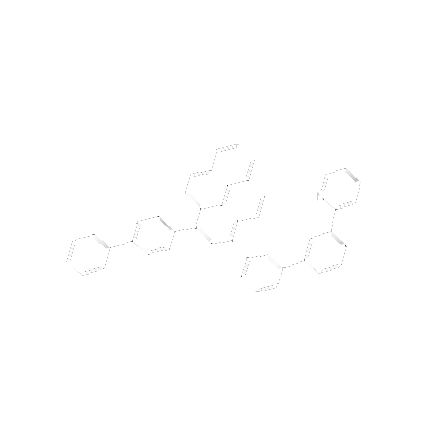 c1ccc(-c2ccc(-c3cc(-c4cccc(-c5cccc(-c6ccccn6)c5)c4)c4ccc5cccc6ccc3c4c65)cc2)cc1